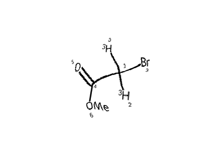 [3H]C([3H])(Br)C(=O)OC